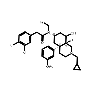 CC(=O)Oc1cccc([C@@]23CCN(CC4CC4)C[C@H]2C(O)C[C@@H](N(CC(C)C)C(=O)Cc2ccc(Cl)c(Cl)c2)C3)c1